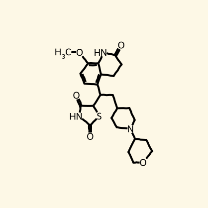 COc1ccc(C(CC2CCN(C3CCOCC3)CC2)C2SC(=O)NC2=O)c2c1NC(=O)CC2